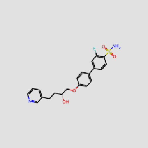 NS(=O)(=O)c1ccc(-c2ccc(OC[C@H](O)CCc3cccnc3)cc2)cc1F